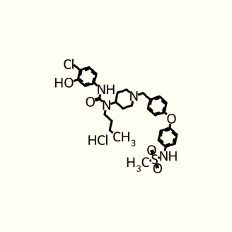 CCCCN(C(=O)Nc1ccc(Cl)c(O)c1)C1CCN(Cc2ccc(Oc3ccc(NS(C)(=O)=O)cc3)cc2)CC1.Cl